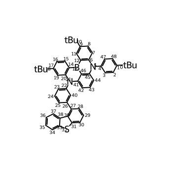 CC(C)(C)c1ccc(N2c3ccc(C(C)(C)C)cc3B3c4ccc(C(C)(C)C)cc4N(c4cccc(-c5cccc6sc7ccccc7c56)c4)c4cccc2c43)cc1